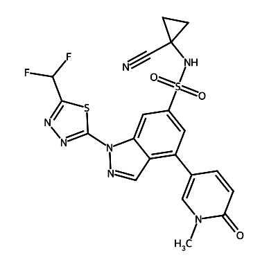 Cn1cc(-c2cc(S(=O)(=O)NC3(C#N)CC3)cc3c2cnn3-c2nnc(C(F)F)s2)ccc1=O